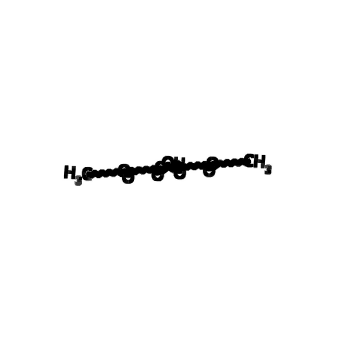 CCCCCCCCCCOC(=O)CCCCCCCC(=O)OCC(O)COC(=O)CCCCCCCC(=O)OCCCCCCCCCC